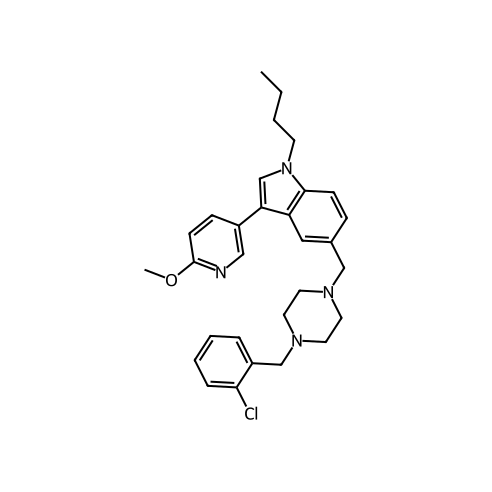 CCCCn1cc(-c2ccc(OC)nc2)c2cc(CN3CCN(Cc4ccccc4Cl)CC3)ccc21